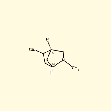 CN1C[C@H]2C[C@@H]1CC2C(C)(C)C